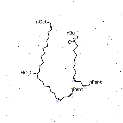 CCCCC/C=C\C/C=C\CCCCCCC(CCCCCCCCCC/C=C\CCCCCCCC)C(=O)O.CCCCC/C=C\C/C=C\CCCCCCCC(=O)OCCCC